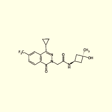 C[C@]1(O)C[C@@H](NC(=O)Cn2nc(C3CC3)c3cc(C(F)(F)F)ccc3c2=O)C1